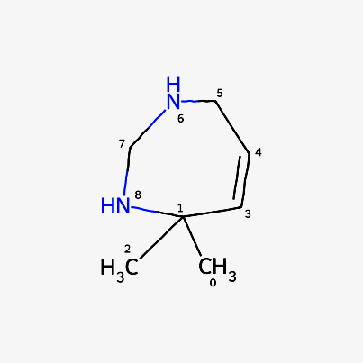 CC1(C)C=CCNCN1